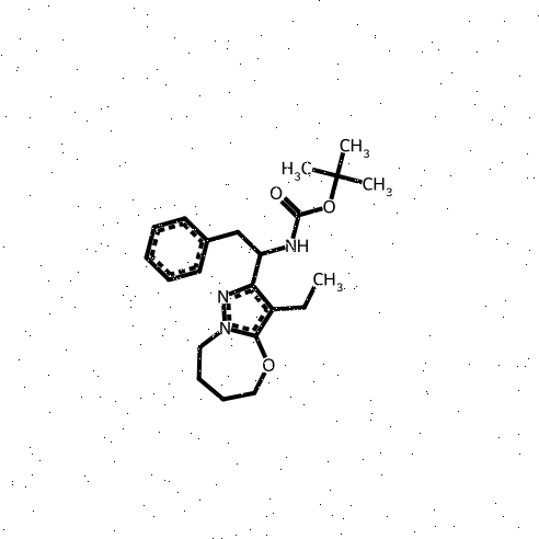 CCc1c(C(Cc2ccccc2)NC(=O)OC(C)(C)C)nn2c1OCCCC2